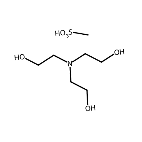 CS(=O)(=O)O.OCCN(CCO)CCO